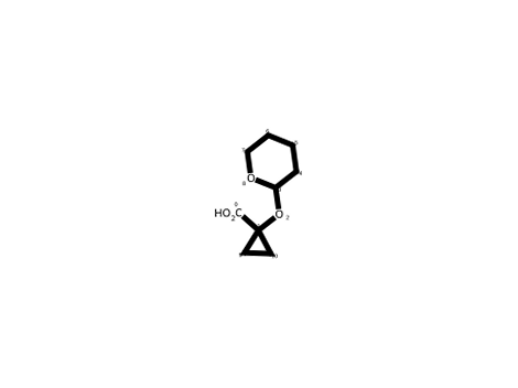 O=C(O)C1(OC2CCCCO2)CC1